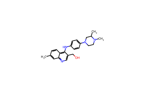 Cc1ccc2c(Nc3ccc(N4CCN(C)C(C)C4)cc3)c(CO)cnc2c1